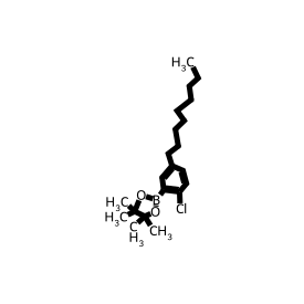 CCCCCCCCCc1ccc(Cl)c(B2OC(C)(C)C(C)(C)O2)c1